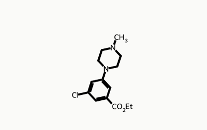 CCOC(=O)c1cc(Cl)cc(N2CCN(C)CC2)c1